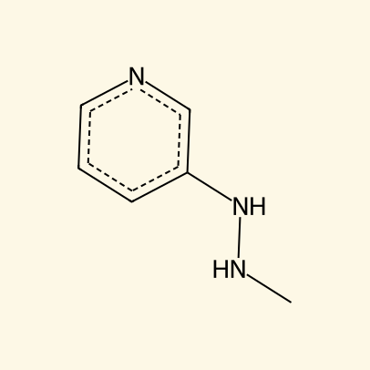 CNNc1cccnc1